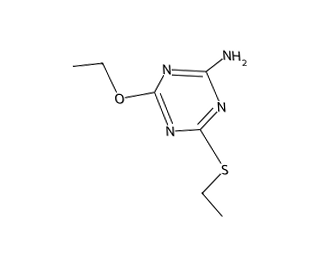 CCOc1nc(N)nc(SCC)n1